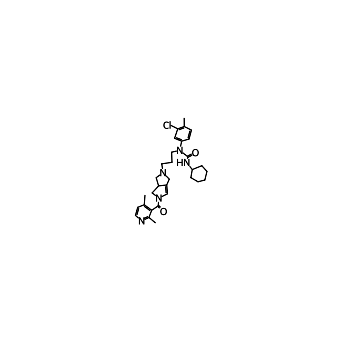 Cc1ccc(N(CCCN2CC3=CN(C(=O)c4c(C)ccnc4C)CC3C2)C(=O)NC2CCCCC2)cc1Cl